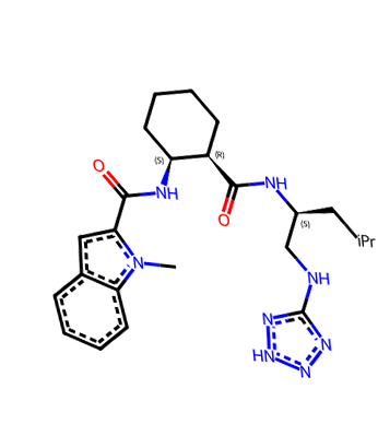 CC(C)C[C@@H](CNc1nn[nH]n1)NC(=O)[C@@H]1CCCC[C@@H]1NC(=O)c1cc2ccccc2n1C